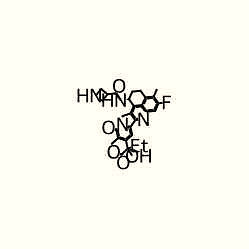 CCC1(O)C(=O)OCc2c1cc1n(c2=O)Cc2c-1nc1cc(F)c(C)c3c1c2[C@H](NC(=O)C1CNC1)CC3